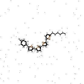 CCCCCCc1ccc(-c2ccc(-c3ccc(-c4ccc(-c5ccc(C)cc5)s4)s3)s2)s1